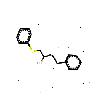 OC(CCc1ccccc1)CSc1ccccc1